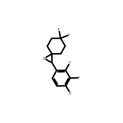 Fc1ccc(C2OC23CCC(F)(F)CC3)c(F)c1F